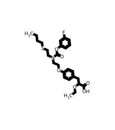 CCCCSCCN(CCOc1ccc(CC(OCC)C(=O)O)cc1)C(=O)Oc1cccc(F)c1